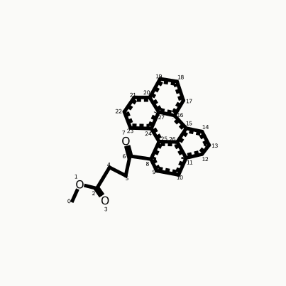 COC(=O)CCC(=O)c1ccc2cccc3c4cccc5cccc(c1c23)c54